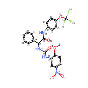 COc1ccc([N+](=O)[O-])cc1NC(=O)NC(C(=O)Nc1ccc(OC(F)(F)F)cc1)c1ccccc1